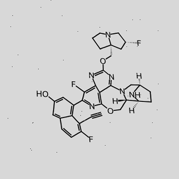 C#Cc1c(F)ccc2cc(O)cc(-c3nc4c5c(nc(OC[C@]67CCCN6C[C@H](F)C7)nc5c3F)N3C[C@H]5CC[C@H](N5)[C@@H]3CO4)c12